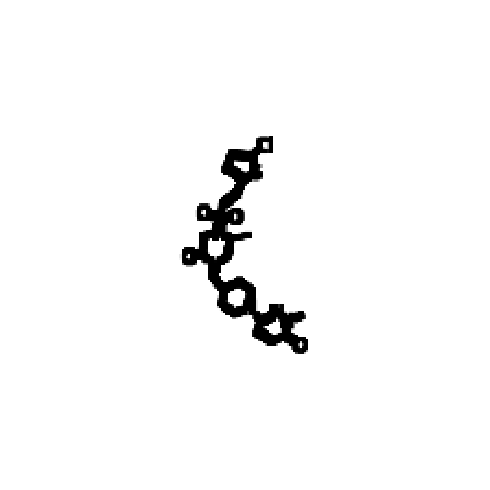 C[C@H]1CN(CC2CCN(c3ccc(=O)n(C)n3)CC2)C(=O)CN1S(=O)(=O)C=Cc1ccc(Cl)s1